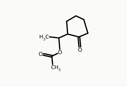 CC(=O)OC(C)C1CCCCC1=O